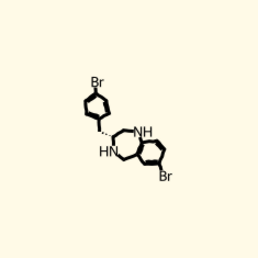 Brc1ccc(C[C@@H]2CNc3ccc(Br)cc3CN2)cc1